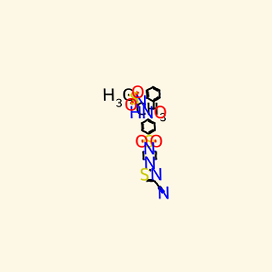 CN(c1ccccc1C(=O)Nc1ccc(S(=O)(=O)N2CCN(c3nc(C#N)cs3)CC2)cc1)S(C)(=O)=O